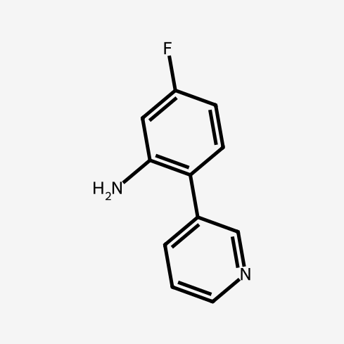 Nc1cc(F)ccc1-c1cccnc1